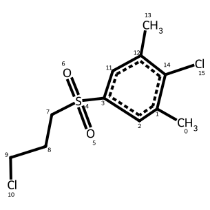 Cc1cc(S(=O)(=O)CCCCl)cc(C)c1Cl